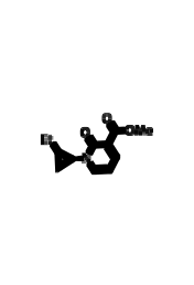 CCC1C[C@@H]1n1cccc(C(=O)OC)c1=O